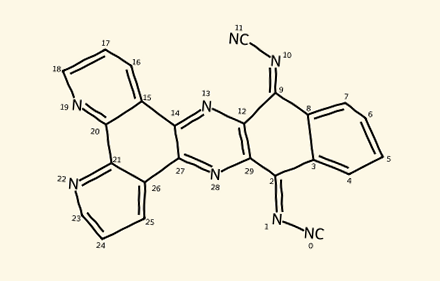 [C-]#[N+]/N=C1\c2ccccc2/C(=N/C#N)c2nc3c4cccnc4c4ncccc4c3nc21